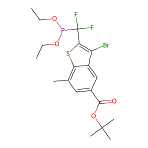 CCOP(OCC)C(F)(F)c1sc2c(C)cc(C(=O)OC(C)(C)C)cc2c1Br